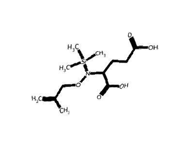 C=C(C)CON(C(CCC(=O)O)C(=O)O)[Si](C)(C)C